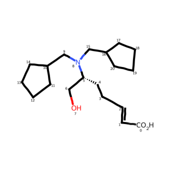 O=C(O)C=CCC[C@H](CO)N(CC1CCCC1)CC1CCCC1